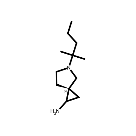 CCCC(C)(C)N1CC[C@]2(CC2N)C1